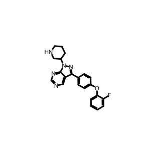 Fc1ccccc1Oc1ccc(-c2nn(C3CCCNC3)c3ncncc23)cc1